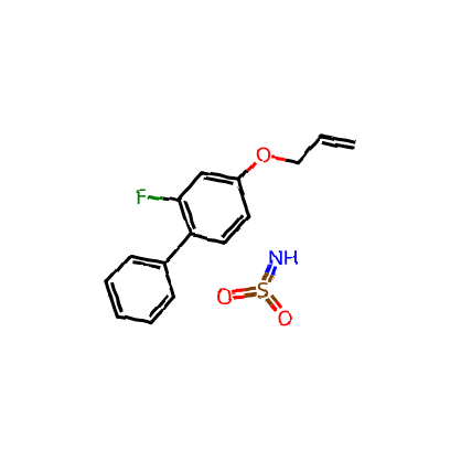 C=CCOc1ccc(-c2ccccc2)c(F)c1.N=S(=O)=O